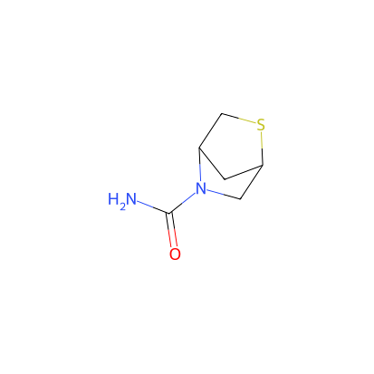 NC(=O)N1CC2CC1CS2